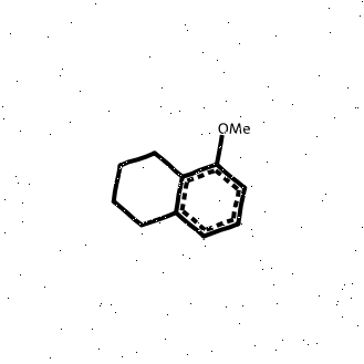 COc1cc[c]c2c1CCCC2